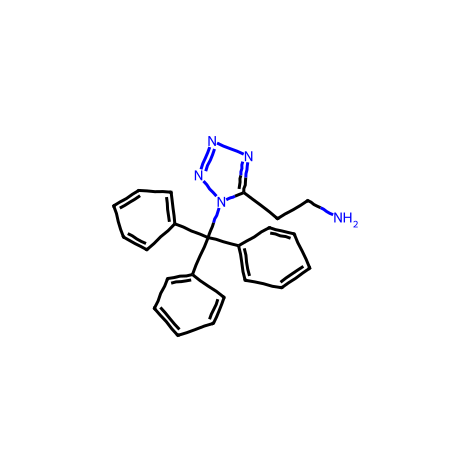 NCCc1nnnn1C(c1ccccc1)(c1ccccc1)c1ccccc1